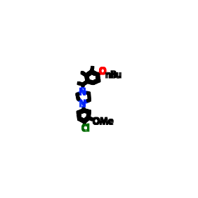 CCCCOc1ccc(C(C)N2CCN(c3ccc(Cl)c(OC)c3)CC2)c(C)c1C